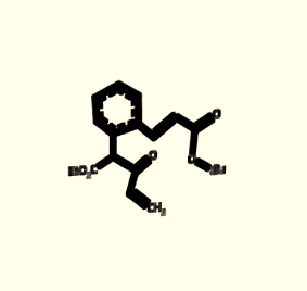 C=CC(=O)C(C(=O)OCC)c1ccccc1C=CC(=O)OC(C)(C)C